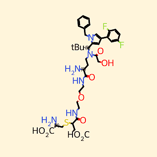 CC(C)(C)[C@H](c1cc(-c2cc(F)ccc2F)cn1Cc1ccccc1)N(CC[C@H](N)C(=O)NCCOCCNC(=O)C(CC(=O)O)SC[C@H](N)C(=O)O)C(=O)CO